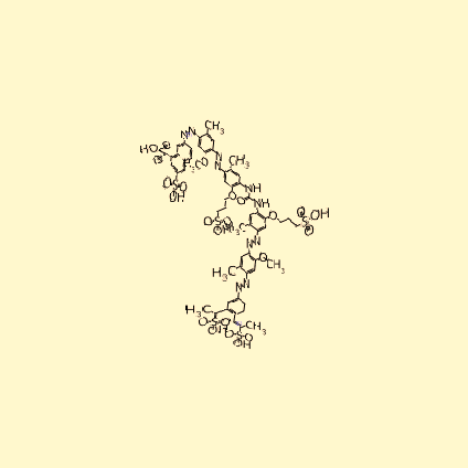 COc1cc(N=NC2=CC(C(C)S(=O)(=O)O)=C(/C=C(\C)S(=O)(=O)O)CC2)c(C)cc1N=Nc1cc(OCCCS(=O)(=O)O)c(NC(=O)Nc2cc(C)c(N=Nc3cc(C)c(/N=N\c4ccc5cc(S(=O)(=O)O)cc(S(=O)(=O)O)c5c4)cc3OC)cc2OCCCS(=O)(=O)O)cc1C